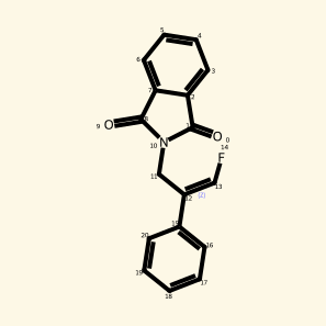 O=C1c2ccccc2C(=O)N1C/C(=C\F)c1ccccc1